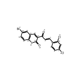 O=C(/C=C/c1ccc(Cl)cc1Cl)c1cc2cc(Br)ccc2sc1=O